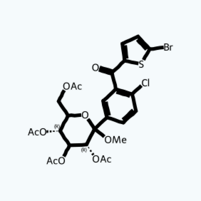 COC1(c2ccc(Cl)c(C(=O)c3ccc(Br)s3)c2)OC(COC(C)=O)[C@@H](OC(C)=O)C(OC(C)=O)[C@H]1OC(C)=O